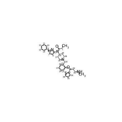 CCC(=O)N(c1ccn(-c2ccccc2)n1)C1CCN(Cc2ccccc2OC(CCNC)c2cccs2)CC1